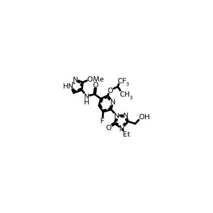 CCn1c(CO)nn(-c2nc(OC(C)C(F)(F)F)c(C(=O)Nc3c[nH]nc3OC)cc2F)c1=O